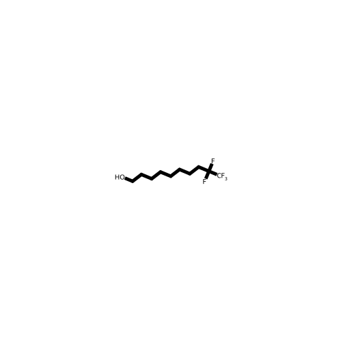 OCCCCCCCCC(F)(F)C(F)(F)F